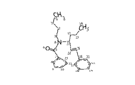 CCCCN(C(=O)c1ccccc1)C(C=Cc1ccccc1)CCC